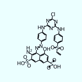 C=CS(=O)(=O)c1ccc(Nc2nc(Cl)nc(Nc3ccc(N=Nc4c(N)c(S(=O)(=O)O)cc5cc(S(=O)(=O)O)cc(O)c45)cc3)n2)cc1